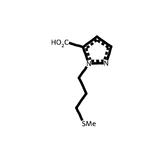 CSCCCn1nccc1C(=O)O